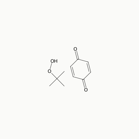 CC(C)(C)OO.O=C1C=CC(=O)C=C1